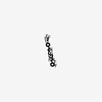 Fc1cccc(-c2nc3cnn(Cc4cc(-c5ccc(OCC(F)(F)F)cc5)no4)cc-3n2)c1F